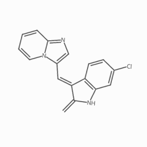 C=c1[nH]c2cc(Cl)ccc2/c1=C\c1cnc2ccccn12